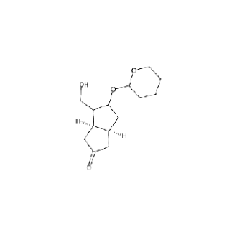 O=C1C[C@@H]2CC(OC3CCCCO3)C(CO)[C@@H]2C1